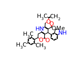 C=C(C)OCC1=C(C(=O)OC)C(c2cccc3c2CCN3)C2=C(CC(c3c(C)cc(C)cc3C)OC2=O)N1